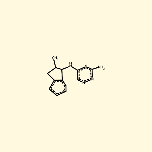 CC1Cc2ccccc2C1Nc1cnnc(N)n1